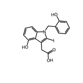 O=C(O)Cc1c(I)n(Cc2ccccc2O)c2cccc(O)c12